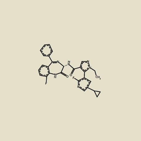 CCn1ncc(C(=O)N[C@H]2N=C(c3ccccc3)c3cccc(F)c3NC2=O)c1-c1cc(C2CC2)cnc1F